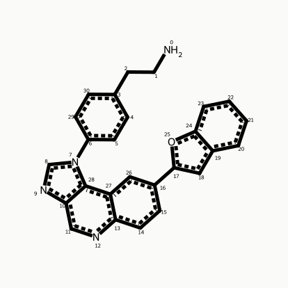 NCCc1ccc(-n2cnc3cnc4ccc(-c5cc6ccccc6o5)cc4c32)cc1